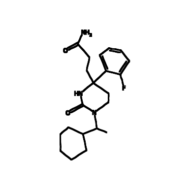 CC(C1CCCCC1)N1CCC(CCC(N)=O)(c2ccccc2F)NC1=O